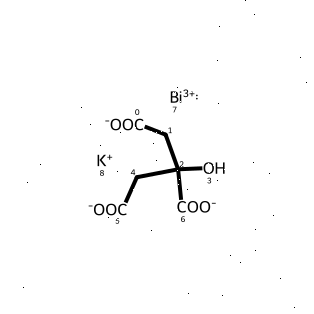 O=C([O-])CC(O)(CC(=O)[O-])C(=O)[O-].[Bi+3].[K+]